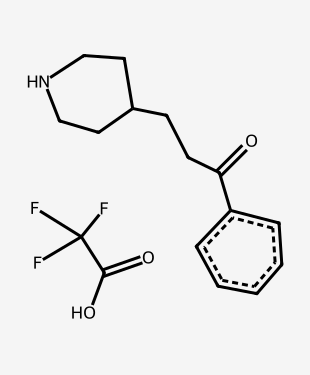 O=C(CCC1CCNCC1)c1ccccc1.O=C(O)C(F)(F)F